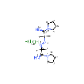 CC(C)(/N=N/C(C)(C)C(=N)N1CCCC1)C(=N)N1CCCC1.Cl.Cl